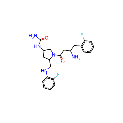 NC(=O)NC1CC(CNc2ccccc2F)N(C(=O)CC(N)Cc2ccccc2F)C1